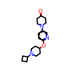 O=C1CCN(c2ccc(OC3CCN(C4CCC4)CC3)nc2)CC1